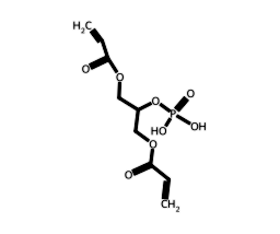 C=CC(=O)OCC(COC(=O)C=C)OP(=O)(O)O